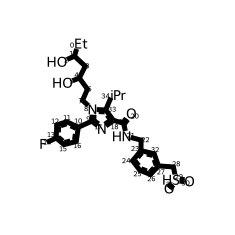 [CH2]CC(O)CC(O)CCn1c(-c2ccc(F)cc2)nc(C(=O)NCc2cccc(C[SH](=O)=O)c2)c1C(C)C